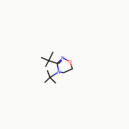 CC(C)(C)C1=NOCCN1C(C)(C)C